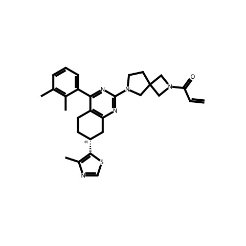 C=CC(=O)N1CC2(CCN(c3nc4c(c(-c5cccc(C)c5C)n3)CC[C@@H](c3scnc3C)C4)C2)C1